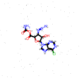 [N-]=[N+]=NC1C(C(=O)OC(N)=O)OC(n2cnc3c(Cl)ncnc32)C1O